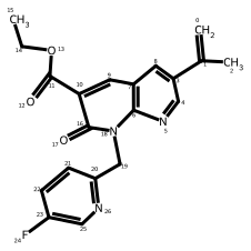 C=C(C)c1cnc2c(c1)cc(C(=O)OCC)c(=O)n2Cc1ccc(F)cn1